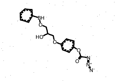 [N-]=[N+]=NC(=O)Oc1ccc(OCC(O)COBc2ccccc2)cc1